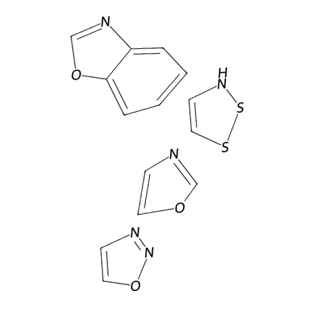 C1=CSSN1.c1ccc2ocnc2c1.c1cocn1.c1conn1